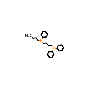 CCCCP(CCCCP(c1ccccc1)c1ccccc1)c1ccccc1